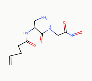 C=CCCC(=O)NC(CN)C(=O)NCC(=O)N=O